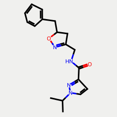 CC(C)n1ccc(C(=O)NCC2=NOC(Cc3ccccc3)C2)n1